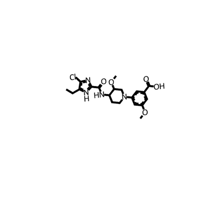 CCc1[nH]c(C(=O)NC2CCN(c3cc(OC)cc(C(=O)O)c3)CC2OC)nc1Cl